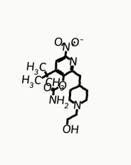 CC(C)(C)c1cc([N+](=O)[O-])nc(CC2CCN(CCO)CC2)c1OC(N)=O